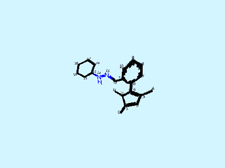 CC1=CC(C)=C(c2ccccc2C=NNC2CCCCC2)C1C